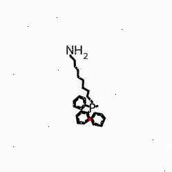 CP(CCCCCCCCCCN)(c1ccccc1)(c1ccccc1)c1ccccc1